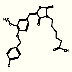 COc1cc(C=C2SC(=S)N(CCCCCC(=O)O)C2=O)ccc1OCc1ccc(Cl)cc1